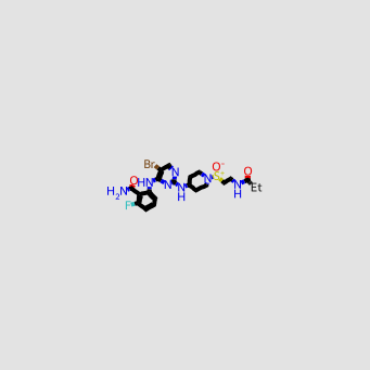 CCC(=O)NCC[S+]([O-])N1CCC(Nc2ncc(Br)c(Nc3cccc(F)c3C(N)=O)n2)CC1